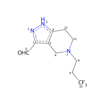 O=Cc1n[nH]c2c1CN(CCC(F)(F)F)CC2